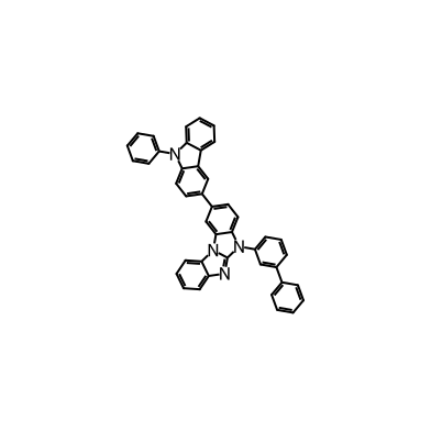 c1ccc(-c2cccc(-n3c4ccc(-c5ccc6c(c5)c5ccccc5n6-c5ccccc5)cc4n4c5ccccc5nc34)c2)cc1